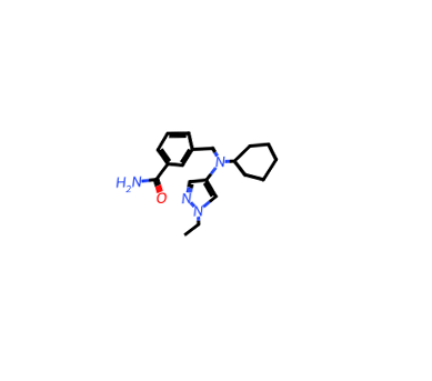 CCn1cc(N(Cc2cccc(C(N)=O)c2)C2CCCCC2)cn1